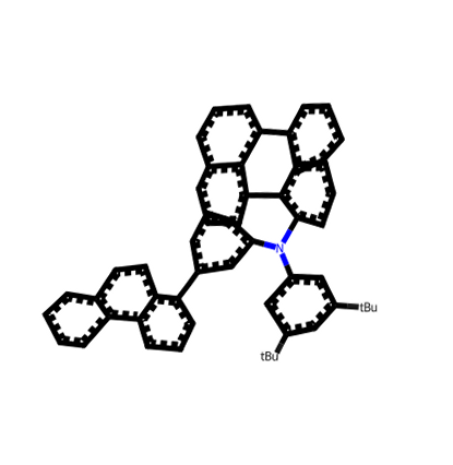 CC(C)(C)c1cc(N(c2cccc(-c3cccc4c3ccc3ccccc34)c2)c2ccccc2-c2cccc3cccc(-c4ccccc4)c23)cc(C(C)(C)C)c1